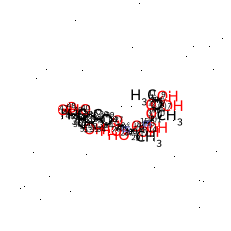 CC[C@@H](O[C@H]1C[C@H](O)[C@H](O)[C@H](C)O1)/C(O)=C/[C@@H](O)O[C@H](CC)/C(O)=C/[C@@H](O)O[C@H]1CC[C@@]2(C)C(CCC3C2C[C@H](O)[C@]2(C)[C@@H](C4=CC(=O)OC4)CC[C@]32O)C1